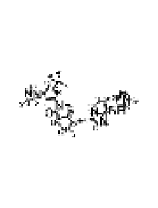 Cc1cn(-c2cc(NC(=O)c3ccc(C)c(C#Cc4cnc5c(Nc6cnn(C)c6)cccn45)c3F)cc(C(C)(C)C)c2)cn1